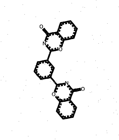 O=c1nc(-c2cccc(-c3nc(=O)c4ccccc4o3)c2)oc2ccccc12